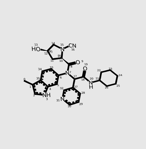 Cc1c[nH]c2cc(N(C(=O)[C@H]3C[C@@H](O)CN3C#N)C(C(=O)NC3CCCCC3)c3cccnc3)ccc12